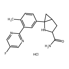 Cc1ccc(C23CC2CC(C(N)=O)N3)cc1-c1ncc(F)cn1.Cl